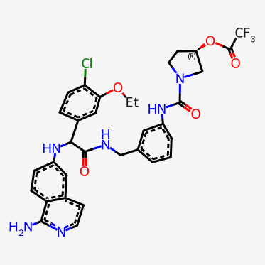 CCOc1cc(C(Nc2ccc3c(N)nccc3c2)C(=O)NCc2cccc(NC(=O)N3CC[C@@H](OC(=O)C(F)(F)F)C3)c2)ccc1Cl